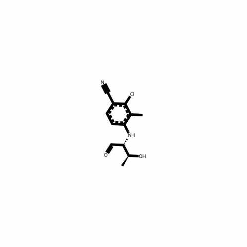 Cc1c(N[C@@H](C=O)[C@H](C)O)ccc(C#N)c1Cl